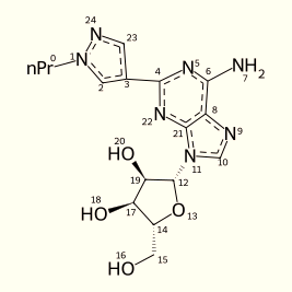 CCCn1cc(-c2nc(N)c3ncn([C@@H]4O[C@H](CO)[C@@H](O)[C@H]4O)c3n2)cn1